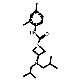 Cc1ccc(NC(=O)N2CC(N(CC(C)C)CC(C)C)C2)c(C)c1